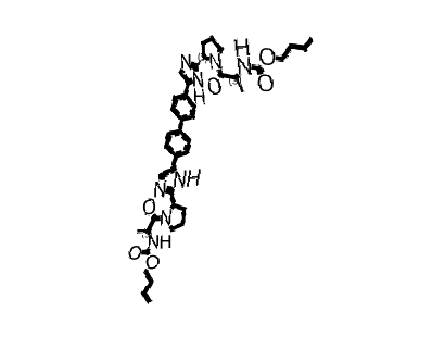 CCCCOC(=O)N[C@@H](C)C(=O)N1CCCC1c1ncc(-c2ccc(-c3ccc(-c4cnc([C@@H]5CCCN5C(=O)[C@H](C)NC(=O)OCCCC)[nH]4)cc3)cc2)[nH]1